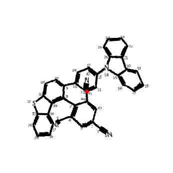 N#Cc1cc(C#N)c(-c2c(-c3ccc(-n4c5ccccc5c5ccccc54)cc3)ccc3sc4ccccc4c23)c(C#N)c1